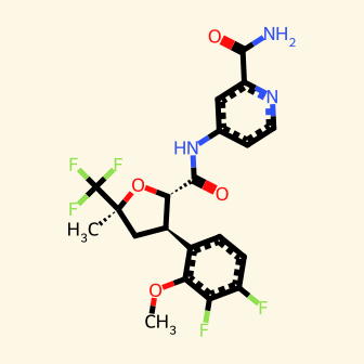 COc1c([C@H]2C[C@@](C)(C(F)(F)F)O[C@@H]2C(=O)Nc2ccnc(C(N)=O)c2)ccc(F)c1F